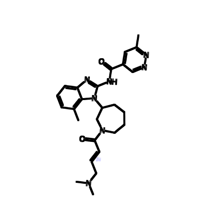 Cc1cc(C(=O)Nc2nc3cccc(C)c3n2C2CCCCN(C(=O)/C=C/CN(C)C)C2)cnn1